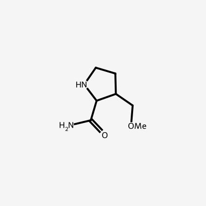 COCC1CCNC1C(N)=O